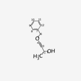 C[C@H](O)C#COCc1ccccc1